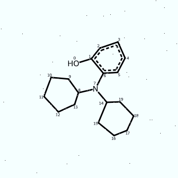 Oc1ccccc1N(C1CCCCC1)C1CCCCC1